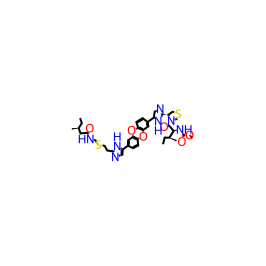 CC[C@H](C)CC(=O)NCSCCc1ncc(-c2ccc3c(c2)Oc2ccc(C4CN=C([C@@H]5CSCN5C(=O)[C@@H](NC(=O)OC)[C@@H](C)CC)N4)cc2O3)[nH]1